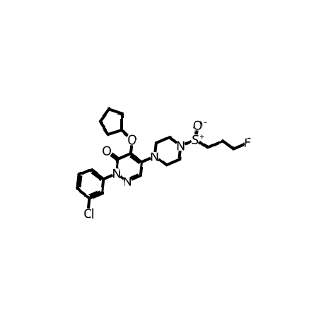 O=c1c(OC2CCCC2)c(N2CCN([S+]([O-])CCCF)CC2)cnn1-c1cccc(Cl)c1